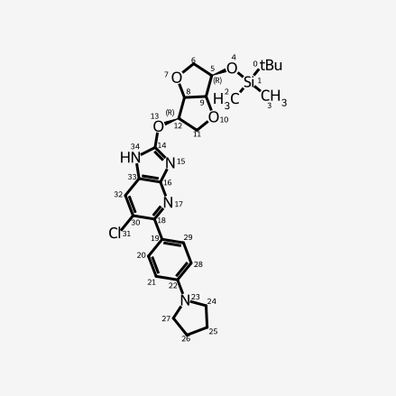 CC(C)(C)[Si](C)(C)O[C@@H]1COC2C1OC[C@H]2Oc1nc2nc(-c3ccc(N4CCCC4)cc3)c(Cl)cc2[nH]1